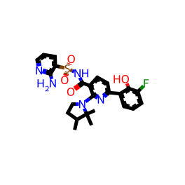 CC1CCN(c2nc(-c3cccc(F)c3O)ccc2C(=O)NS(=O)(=O)c2cccnc2N)C1(C)C